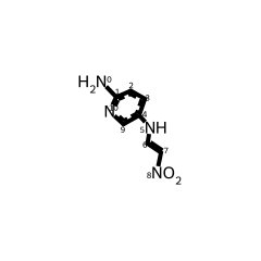 Nc1ccc(NC=C[N+](=O)[O-])cn1